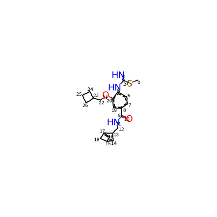 CSC(=N)Nc1ccc(C(=O)NCC2C=C3C=C2C3)cc1OCC1CCC1